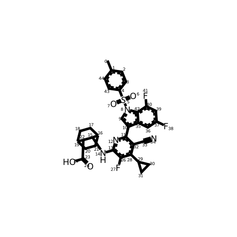 Cc1ccc(S(=O)(=O)n2cc(-c3nc(NC4C5CCC(CC5)C4C(=O)O)c(F)c(C4CC4)c3C#N)c3cc(F)cc(F)c32)cc1